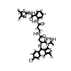 CC(=N)N1C(=N)C(CC(=O)NCCC(=O)Nc2ccccc2C(=O)Nc2nc(C)c(C)s2)N=C(c2ccc(Cl)cc2)c2c1sc(C)c2C